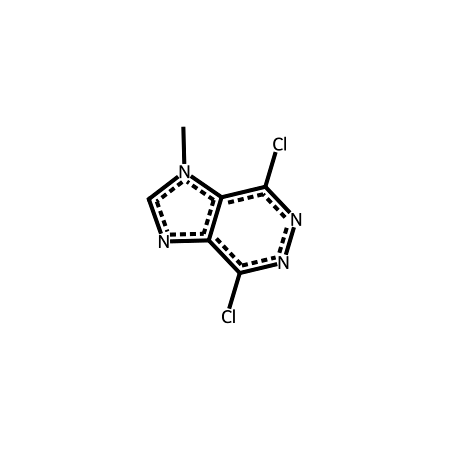 Cn1cnc2c(Cl)nnc(Cl)c21